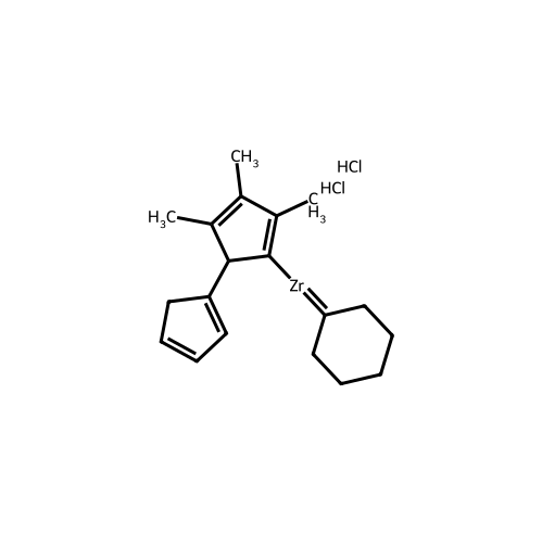 CC1=C(C)C(C2=CC=CC2)[C]([Zr]=[C]2CCCCC2)=C1C.Cl.Cl